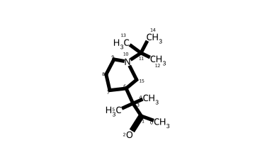 CC(=O)C(C)(C)C1CCCN(C(C)(C)C)C1